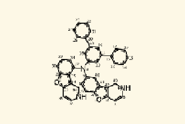 C1=Cc2oc3ccc(N(c4cc(-c5ccccc5)cc(-c5ccccc5)c4)c4cccc5oc6c(c45)CNC=C6)cc3c2CN1